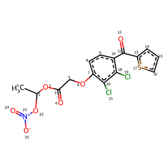 CC(OC(=O)COc1ccc(C(=O)c2cccs2)c(Cl)c1Cl)O[N+](=O)[O-]